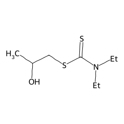 CCN(CC)C(=S)SCC(C)O